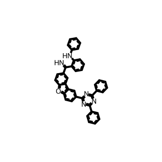 N=C(c1ccc2oc3ccc(-c4nc(-c5ccccc5)nc(-c5ccccc5)n4)cc3c2c1)c1ccccc1Nc1ccccc1